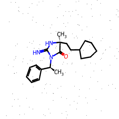 C[C@@H](c1ccccc1)N1C(=N)N[C@@](C)(CCC2CCCCC2)C1=O